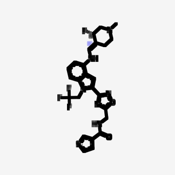 CN1CC/C(=C\Nc2cccc3c2cc(-c2noc(CNC(=O)c4ccsc4)n2)n3CC(F)(F)F)[C@H](F)C1